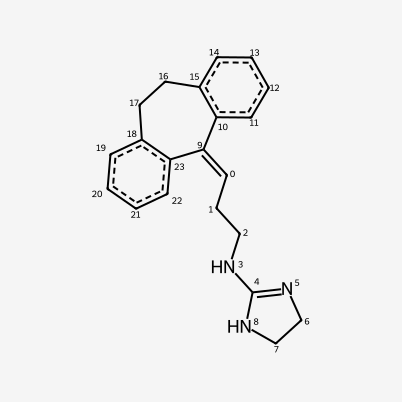 C(CCNC1=NCCN1)=C1c2ccccc2CCc2ccccc21